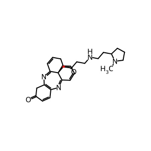 CN1CCCC1CCNCCC(=O)C1CC=CC2=NC3=C(C=CC(=O)C3)N=C3C=CC=CC321